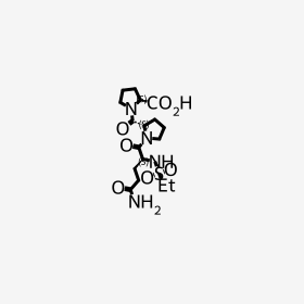 CCS(=O)(=O)N[C@@H](CCC(N)=O)C(=O)N1CCC[C@H]1C(=O)N1CCC[C@H]1C(=O)O